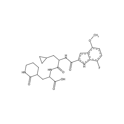 COc1ccc(F)c2[nH]c(C(=O)NC(CC3CC3)C(=O)NC(CC3CCCNC3=O)C(=O)O)cc12